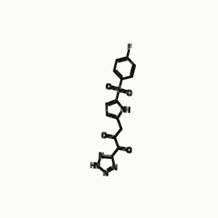 O=C(Cc1ccc(S(=O)(=O)c2ccc(F)cc2)[nH]1)C(=O)c1nn[nH]n1